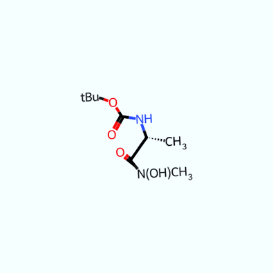 C[C@@H](NC(=O)OC(C)(C)C)C(=O)N(C)O